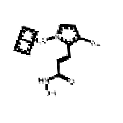 CC(=O)c1ccn(C)c1C=CC(=O)NO.c1cc2ccc1-2